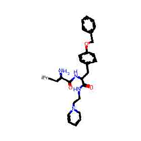 CC(C)CC(N)C(=O)NC(Cc1ccc(OCc2ccccc2)cc1)C(=O)NCCN1C=CC=CC1